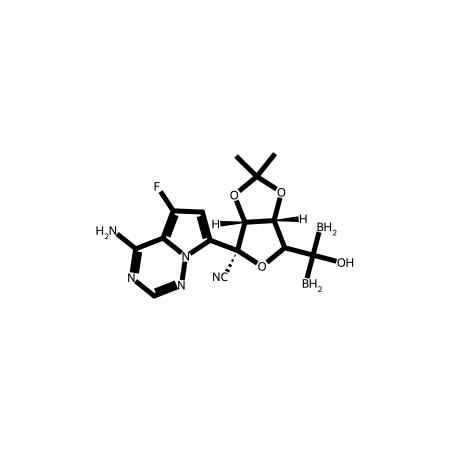 BC(B)(O)C1O[C@@](C#N)(c2cc(F)c3c(N)ncnn23)[C@@H]2OC(C)(C)O[C@H]12